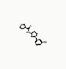 O=C(NC1CCN(c2cccc(Cl)c2)N1)C1CCOC1